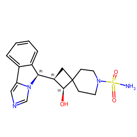 NS(=O)(=O)N1CCC2(CC1)C[C@H]([C@@H]1c3ccccc3-c3cncn31)[C@@H]2O